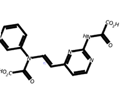 O=C(O)C(=O)Nc1nccc(/C=C/N(C(=O)C(=O)O)c2ccccc2)n1